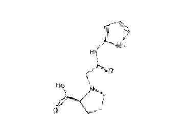 O=C(CN1CCC[C@H]1C(=O)O)Nc1ccc[nH]1